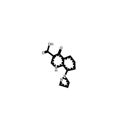 O=C(O)c1c[nH]c2c(-n3cccn3)cccc2c1=O